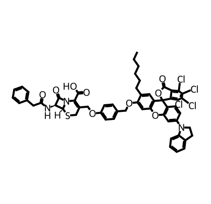 CCCCCCc1cc2c(cc1OCc1ccc(OCC3=C(C(=O)O)N4C(=O)[C@H](NC(=O)Cc5ccccc5)[C@@H]4SC3)cc1)Oc1cc(N3CCc4ccccc43)ccc1C21OC(=O)c2c(Cl)c(Cl)c(Cl)c(Cl)c21